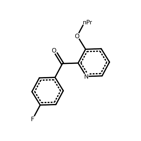 CCCOc1cccnc1C(=O)c1ccc(F)cc1